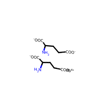 NC(CCC(=O)[O-])C(=O)[O-].NC(CCC(=O)[O-])C(=O)[O-].[Pb+4]